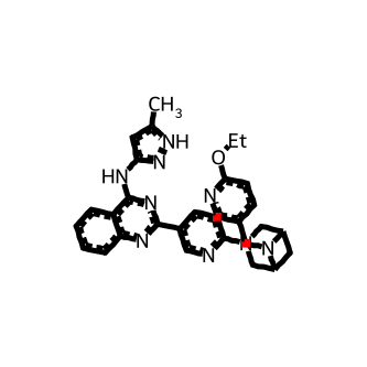 CCOc1ccc(CN2C3CC2CN(c2ccc(-c4nc(Nc5cc(C)[nH]n5)c5ccccc5n4)cn2)C3)cn1